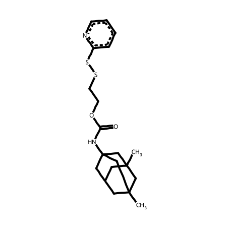 CC12CC3CC(C)(C1)CC(NC(=O)OCCSSc1ccccn1)(C3)C2